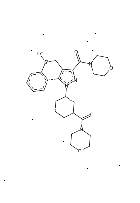 O=C(c1nn(C2CCCC(C(=O)N3CCOCC3)C2)c2c1C[S+]([O-])c1ccccc1-2)N1CCOCC1